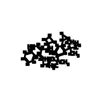 CC(C)(C)c1cc(C(C)(C)C)c(C2CC2)cc1NC(C1=CNc2ccccc2C1=C1CCC1)=C1CCC1